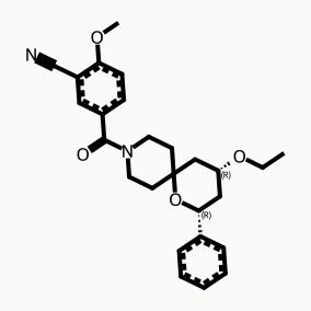 CCO[C@@H]1C[C@H](c2ccccc2)OC2(CCN(C(=O)c3ccc(OC)c(C#N)c3)CC2)C1